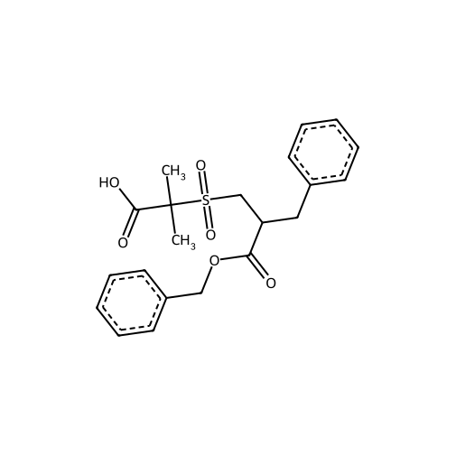 CC(C)(C(=O)O)S(=O)(=O)CC(Cc1ccccc1)C(=O)OCc1ccccc1